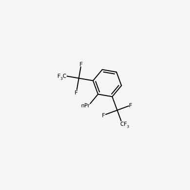 [CH2]CCc1c(C(F)(F)C(F)(F)F)cccc1C(F)(F)C(F)(F)F